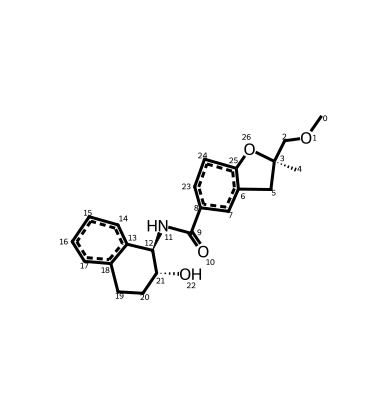 COC[C@@]1(C)Cc2cc(C(=O)N[C@@H]3c4ccccc4CC[C@H]3O)ccc2O1